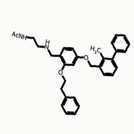 CC(=O)NCCNCc1ccc(OCc2cccc(-c3ccccc3)c2C)cc1OCCc1ccccc1